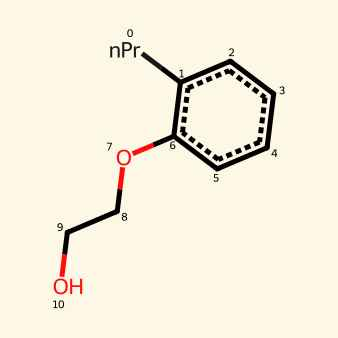 CCCc1ccccc1OCCO